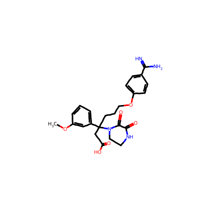 COc1cccc(C(CCCOc2ccc(C(=N)N)cc2)(CC(=O)O)N2CCNC(=O)C2=O)c1